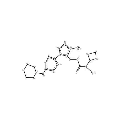 CN(C(=O)OCc1c(-c2ccc(OC3CCCCC3)cn2)nnn1C)C1CCC1